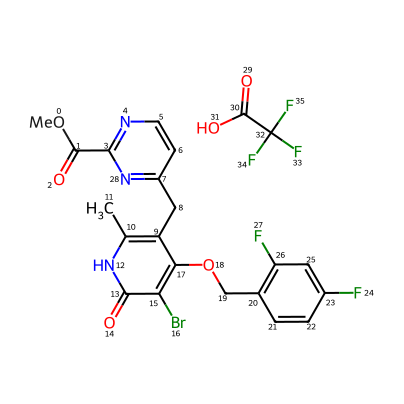 COC(=O)c1nccc(Cc2c(C)[nH]c(=O)c(Br)c2OCc2ccc(F)cc2F)n1.O=C(O)C(F)(F)F